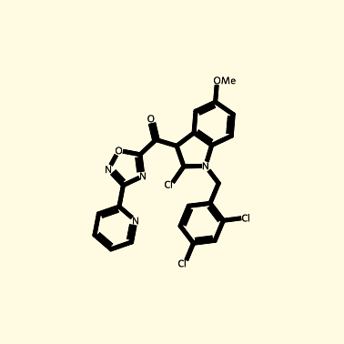 COc1ccc2c(c1)C(C(=O)c1nc(-c3ccccn3)no1)C(Cl)N2Cc1ccc(Cl)cc1Cl